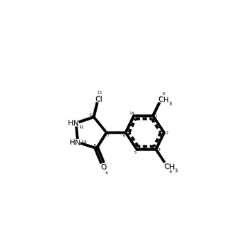 Cc1cc(C)cc(C2C(=O)NNC2Cl)c1